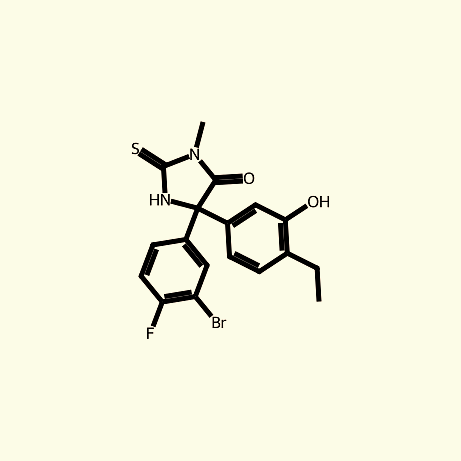 CCc1ccc(C2(c3ccc(F)c(Br)c3)NC(=S)N(C)C2=O)cc1O